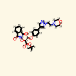 CC(C)(C)OC(=O)[C@H](COc1ccc(-c2cnn(CCN3CCOCC3)c2)cc1)ON1C(=O)c2ccccc2C1=O